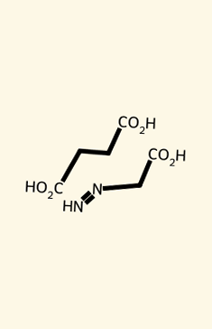 N=NCC(=O)O.O=C(O)CCC(=O)O